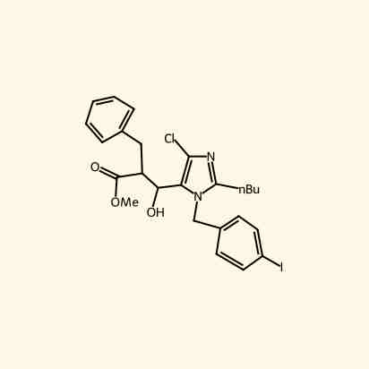 CCCCc1nc(Cl)c(C(O)C(Cc2ccccc2)C(=O)OC)n1Cc1ccc(I)cc1